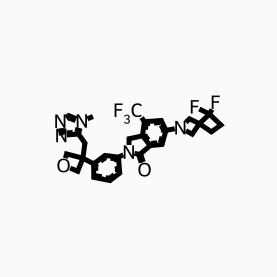 Cn1cnnc1CC1(c2cccc(N3Cc4c(cc(N5CC6(CCC6(F)F)C5)cc4C(F)(F)F)C3=O)c2)COC1